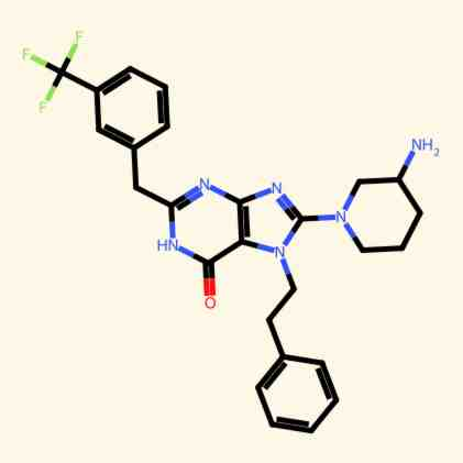 NC1CCCN(c2nc3nc(Cc4cccc(C(F)(F)F)c4)[nH]c(=O)c3n2CCc2ccccc2)C1